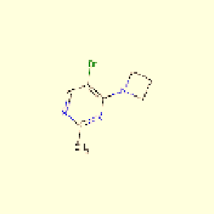 Cc1ncc(Br)c(N2CCC2)n1